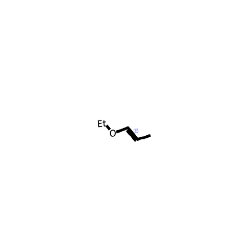 [CH2]CO/C=C/C